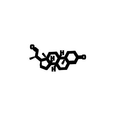 C[C@H](C=O)[C@H]1CC[C@H]2[C@@H]3CCC4=CC(=O)CC[C@]4(C)[C@@H]3CC[C@]12C